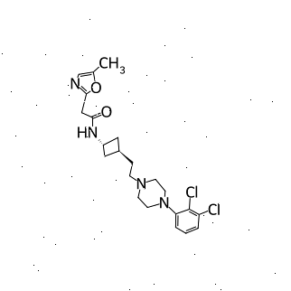 Cc1cnc(CC(=O)N[C@H]2C[C@H](CCN3CCN(c4cccc(Cl)c4Cl)CC3)C2)o1